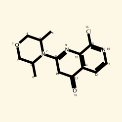 CC1COCC(C)N1C1=Nc2c(ccnc2Cl)C(=O)C1